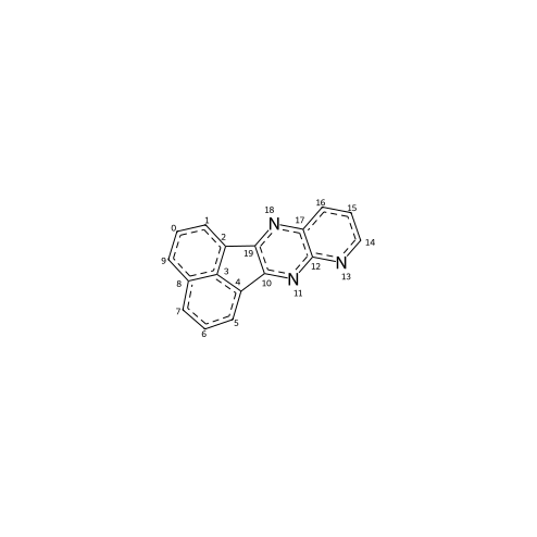 c1cc2c3c(cccc3c1)-c1nc3ncccc3nc1-2